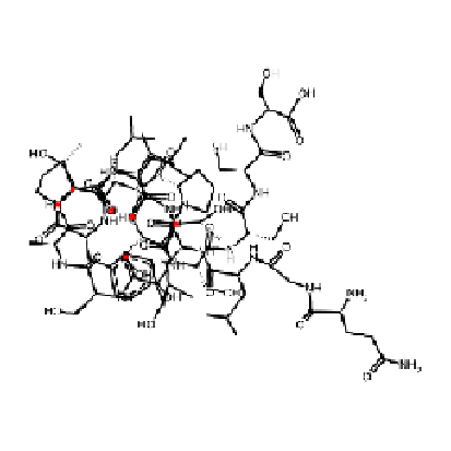 CC(C)C[C@H](NC(=O)CNC(=O)[C@@H](N)CCC(N)=O)C(=O)N[C@@H](CC(C)C)C(=O)N1CCC[C@H]1C(=O)N[C@@H](CC(C)C)C(=O)N[C@@H](Cc1ccc(O)cc1)C(=O)N1CCC[C@H]1C(=O)N[C@H](C(=O)N[C@H](C(=O)N[C@@H](CO)C(=O)N[C@@H](CO)C(=O)N[C@@H](C)C(=O)N[C@H](C(=O)N[C@@H](CC(C)C)C(=O)N[C@@H](CO)C(=O)N[C@@H](CO)C(=O)N[C@@H](CO)C(=O)N[C@@H](CS)C(=O)N[C@@H](CO)C(=O)O)[C@@H](C)O)[C@@H](C)O)C(C)C